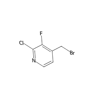 Fc1c(CBr)ccnc1Cl